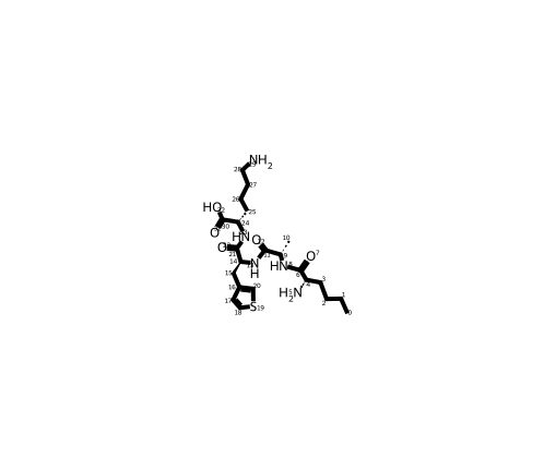 CCCC[C@H](N)C(=O)N[C@@H](C)C(=O)N[C@@H](Cc1ccsc1)C(=O)N[C@@H](CCCCN)C(=O)O